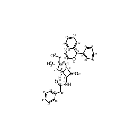 C[C@@]1(CCl)S[C@@H]2C(NC(=O)Cc3ccccc3)C(=O)N2[C@H]1C(=O)OC(c1ccccc1)c1ccccc1